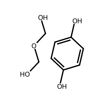 OCOCO.Oc1ccc(O)cc1